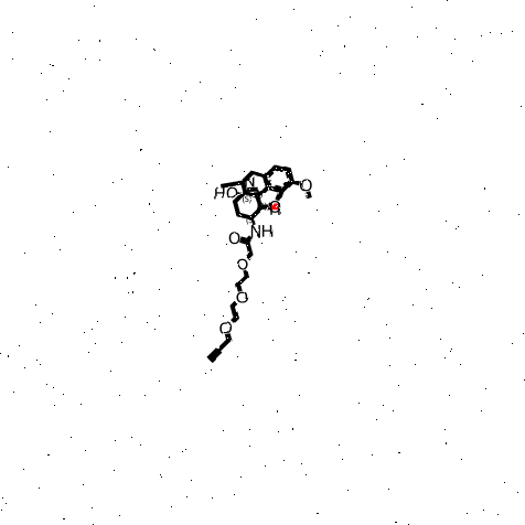 C#CCOCCOCCOCC(=O)N[C@H]1CC[C@@]2(O)C3Cc4ccc(OC)c5c4[C@@]2(CCN3C)[C@H]1O5